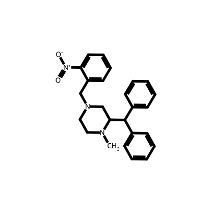 CN1CCN(Cc2ccccc2[N+](=O)[O-])CC1C(c1ccccc1)c1ccccc1